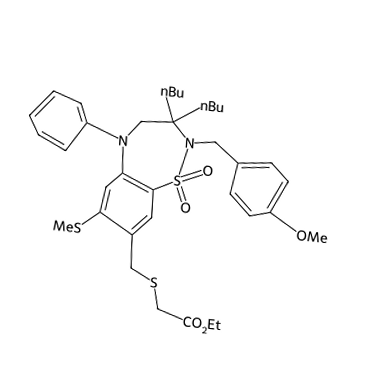 CCCCC1(CCCC)CN(c2ccccc2)c2cc(SC)c(CSCC(=O)OCC)cc2S(=O)(=O)N1Cc1ccc(OC)cc1